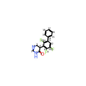 O=C1NC=NCC1c1c(F)c(F)cc(-c2ccccc2)c1F